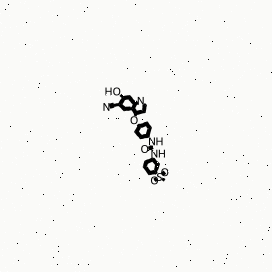 CS(=O)(=O)c1cccc(NC(=O)Nc2ccc(Oc3ccnc4cc(O)c(C#N)cc34)cc2)c1